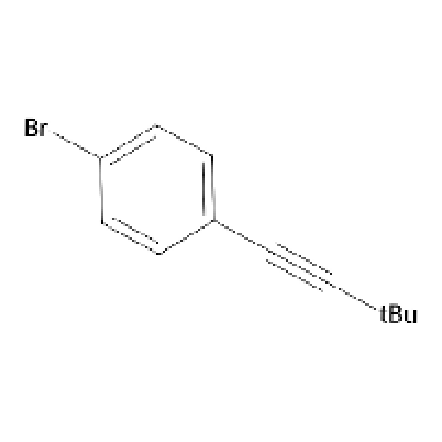 CC(C)(C)C#Cc1ccc(Br)cc1